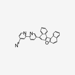 N#Cc1ccnc(-c2ccc(-c3cc4oc5ccc6ccccc6c5c4c4ccccc34)cn2)c1